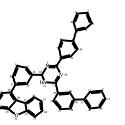 c1ccc(-c2ccc(C3=NC(c4cccc(-c5cccc6oc7ccccc7c56)c4)NC(c4cccc(-c5ccccc5)c4)=N3)cc2)cc1